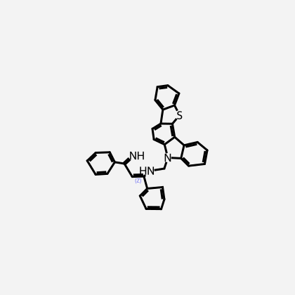 N=C(/C=C(\NCn1c2ccccc2c2c3sc4ccccc4c3ccc21)c1ccccc1)c1ccccc1